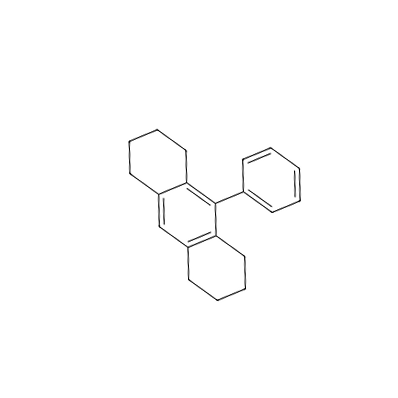 c1ccc(-c2c3c(cc4c2CCCC4)CCCC3)cc1